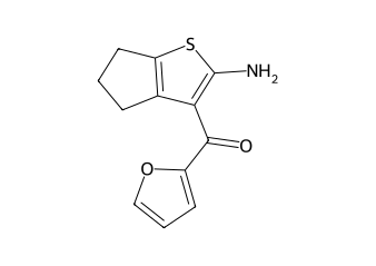 Nc1sc2c(c1C(=O)c1ccco1)CCC2